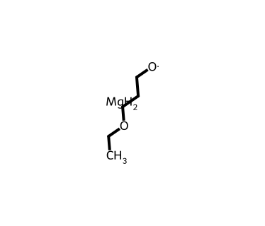 CCOCCC[O].[MgH2]